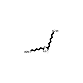 CCCCCCCCCCCCCCCCCC(=O)O[CH]([AlH2])CCCCCCCCCCCCCCC